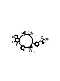 Cn1nc2nc1-c1cc(ccn1)Sc1c(F)c(F)c3[nH]ccc3c1CCS(=O)(=O)CC(C)(C)CCCC2c1cccc(CC2(C(=O)O)CC2)c1